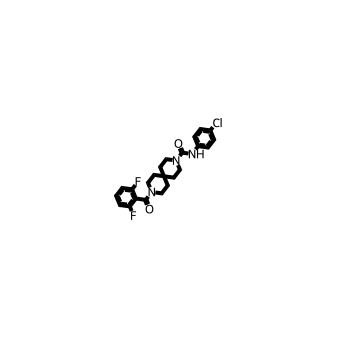 O=C(Nc1ccc(Cl)cc1)N1CCC2(CC1)CCN(C(=O)c1c(F)cccc1F)CC2